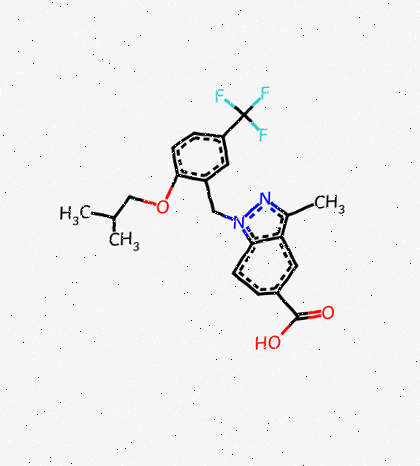 Cc1nn(Cc2cc(C(F)(F)F)ccc2OCC(C)C)c2ccc(C(=O)O)cc12